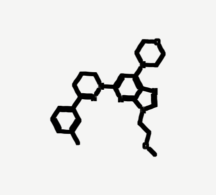 COCCn1cnc2c(N3CCOCC3)cc(N3CCCC(c4cccc(C)c4)=N3)nc21